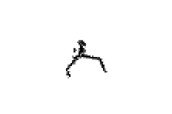 CCCC/C=C\CCCCCCCC(=O)OC[C@H](COP(=O)(O)OC[C@@H](O)CO)OC(=O)CCCCCCCCC/C=C\CCCCCCCC